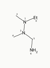 CCN(C)N(C)CN